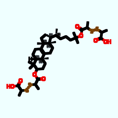 CC(SSC(C)C(=O)OC1CC[C@]2(C)C3=C(CC[C@H]2C1(C)C)[C@]1(C)CC[C@H]([C@H](C)CCCC(C)(C)OC(=O)C(C)SSC(C)C(=O)O)[C@@]1(C)CC3)C(=O)O